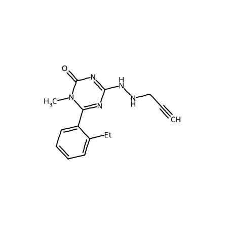 C#CCNNc1nc(-c2ccccc2CC)n(C)c(=O)n1